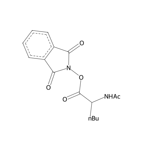 CCCCC(NC(C)=O)C(=O)ON1C(=O)c2ccccc2C1=O